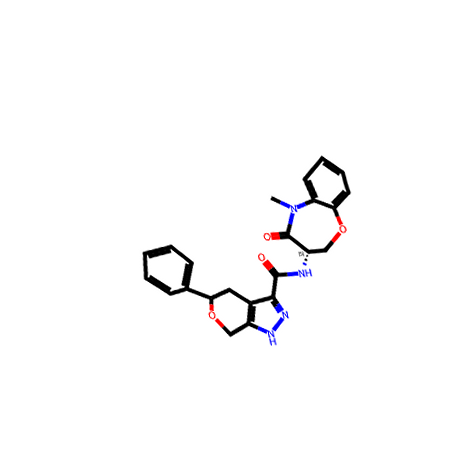 CN1C(=O)[C@@H](NC(=O)c2n[nH]c3c2CC(c2ccccc2)OC3)COc2ccccc21